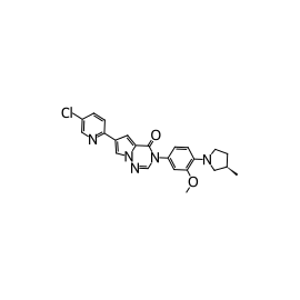 COc1cc(-n2cnn3cc(-c4ccc(Cl)cn4)cc3c2=O)ccc1N1CC[C@@H](C)C1